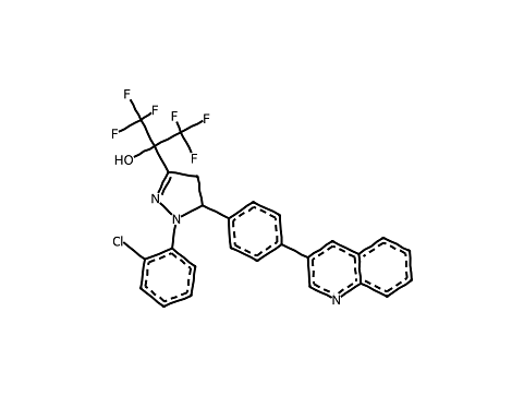 OC(C1=NN(c2ccccc2Cl)C(c2ccc(-c3cnc4ccccc4c3)cc2)C1)(C(F)(F)F)C(F)(F)F